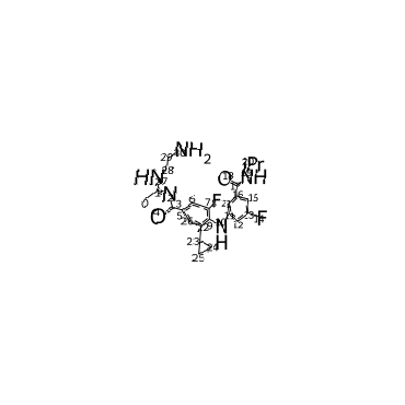 C/C(=N\C(=O)c1cc(F)c(Nc2cc(F)cc(C(=O)NC(C)C)c2)c(C2CC2)c1)NCCN